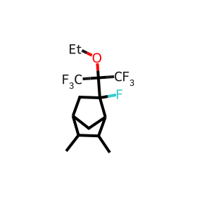 CCOC(C(F)(F)F)(C(F)(F)F)C1(F)CC2CC1C(C)C2C